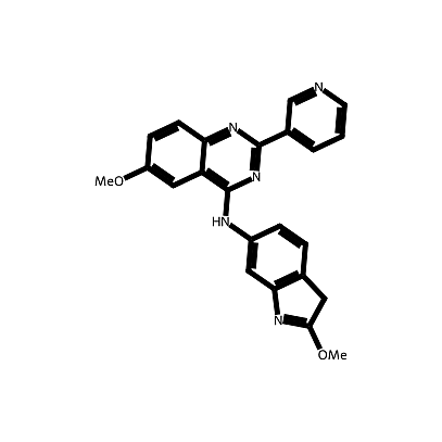 COC1=Nc2cc(Nc3nc(-c4cccnc4)nc4ccc(OC)cc34)ccc2C1